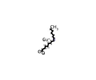 CCCCCC/C=C\CCCCCCCC(=O)[O-].[Cu+]